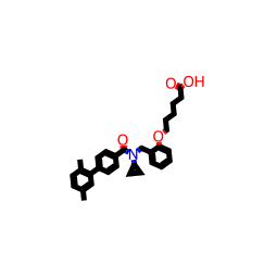 Cc1ccc(C)c(-c2ccc(C(=O)N(Cc3ccccc3OCCCCCC(=O)O)C3CC3)cc2)c1